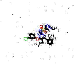 CCc1c(Oc2cccc(Cl)c2)nc(NS(=O)(=O)c2cnn(C)c2)nc1-c1ccccc1C